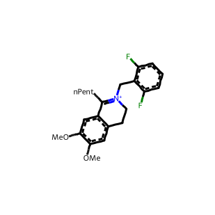 CCCCCC1=[N+](Cc2c(F)cccc2F)CCc2cc(OC)c(OC)cc21